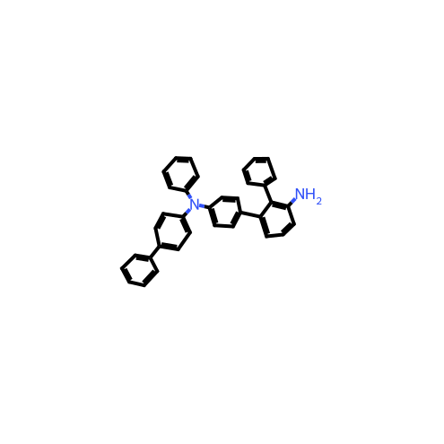 Nc1cccc(-c2ccc(N(c3ccccc3)c3ccc(-c4ccccc4)cc3)cc2)c1-c1ccccc1